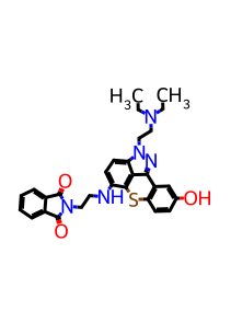 CCN(CC)CCn1nc2c3c(c(NCCN4C(=O)c5ccccc5C4=O)ccc31)Sc1ccc(O)cc1-2